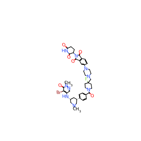 CN1C[C@H](Nc2cnn(C)c(=O)c2Br)C[C@H](c2ccc(C(=O)N3CCC(F)(CN4CCN(c5ccc6c(c5)C(=O)N(C5CCC(=O)NC5=O)C6=O)CC4)CC3)cc2)C1